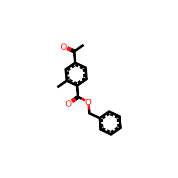 CC(=O)c1ccc(C(=O)OCc2ccccc2)c(C)c1